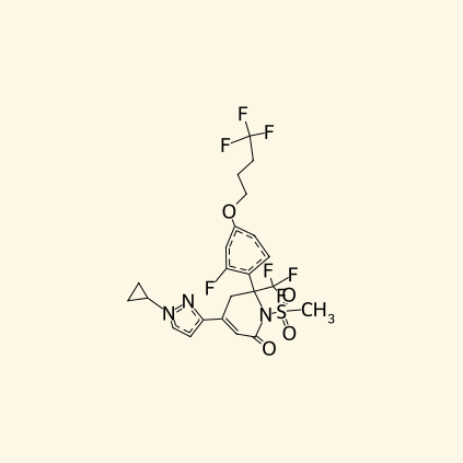 CS(=O)(=O)N1C(=O)C=C(c2ccn(C3CC3)n2)CC1(c1ccc(OCCCC(F)(F)F)cc1F)C(F)(F)F